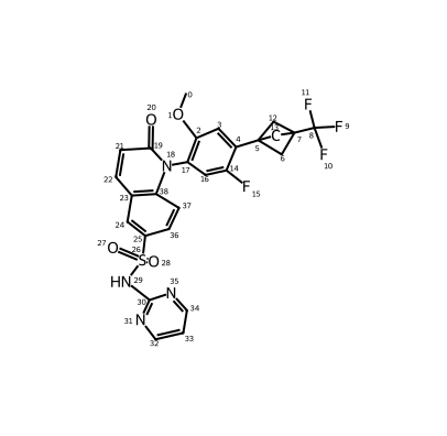 COc1cc(C23CC(C(F)(F)F)(C2)C3)c(F)cc1-n1c(=O)ccc2cc(S(=O)(=O)Nc3ncccn3)ccc21